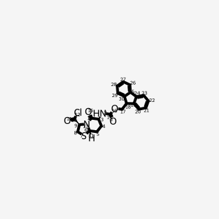 O=C(N[C@H]1CC[C@@H]2SC[C@@H](C(=O)Cl)N2C1=O)OCC1c2ccccc2-c2ccccc21